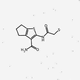 NC(=O)c1c(NC(=O)C[S])sc2c1CCC2